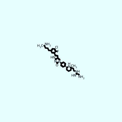 C[C@H](N)CCCc1cc(Cl)c(F)c(-c2cc3cn(-c4ccc([C@@H]5CCCC(C)(CCNC(=N)CN)N5)cc4)c(=O)nc3[nH]2)c1